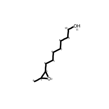 CC1OC1CCCCCCCO